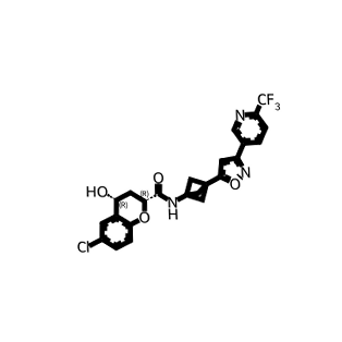 O=C(NC12CC(c3cc(-c4ccc(C(F)(F)F)nc4)no3)(C1)C2)[C@H]1C[C@@H](O)c2cc(Cl)ccc2O1